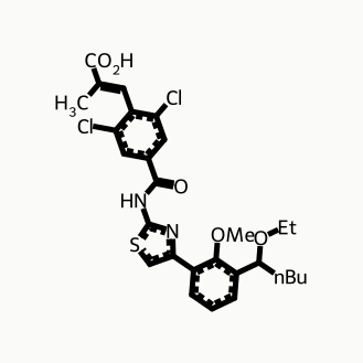 CCCCC(OCC)c1cccc(-c2csc(NC(=O)c3cc(Cl)c(/C=C(\C)C(=O)O)c(Cl)c3)n2)c1OC